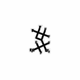 FC(F)(F)C(F)(F)C(F)(C1CC(F)(F)C1(F)F)C(F)(F)F